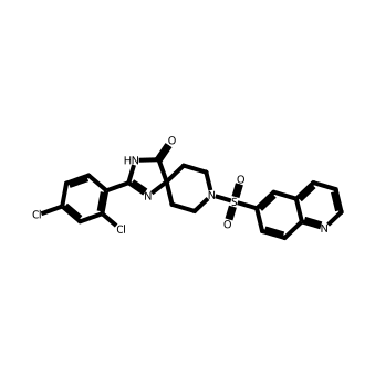 O=C1NC(c2ccc(Cl)cc2Cl)=NC12CCN(S(=O)(=O)c1ccc3ncccc3c1)CC2